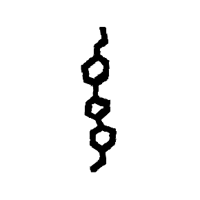 CCCC1CC=C(c2ccc(C3CCC(CC)CC3)cc2)CC1